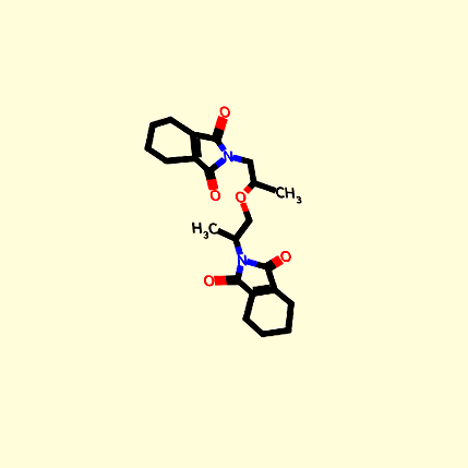 CC(CN1C(=O)C2=C(CCCC2)C1=O)OCC(C)N1C(=O)C2=C(CCCC2)C1=O